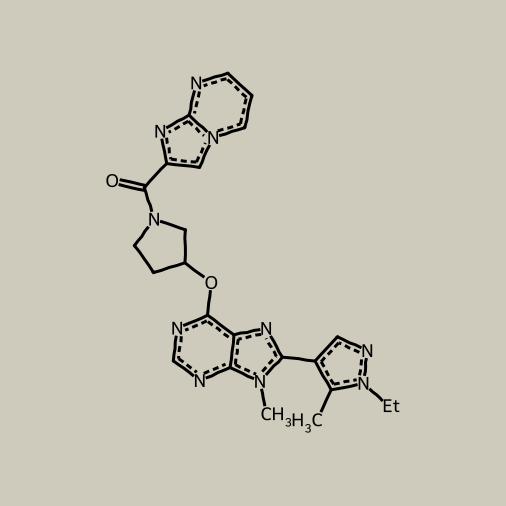 CCn1ncc(-c2nc3c(OC4CCN(C(=O)c5cn6cccnc6n5)C4)ncnc3n2C)c1C